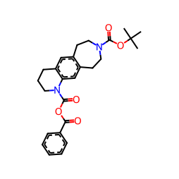 CC(C)(C)OC(=O)N1CCc2cc3c(cc2CC1)N(C(=O)OC(=O)c1ccccc1)CCC3